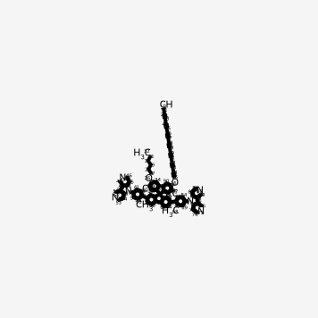 C#CC#CC#CC#CC#CC#CC#CC#COc1ccc(C2(c3ccc(OCCCCCC)cc3)c3cc(-c4c(C)cc(-n5c6ccncc6c6cnccc65)cc4C)ccc3-c3ccc(-c4c(C)cc(-n5c6ccncc6c6cnccc65)cc4C)cc32)cc1